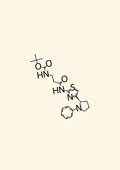 CC(C)(C)OC(=O)NCCC(=O)Nc1nc([C@H]2CCCN2c2ccccc2)cs1